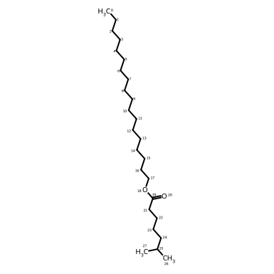 CCCCCCCCCCCCCCCCCCOC(=O)CCCCC(C)C